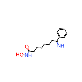 N=C(CCCCCCC(=O)NO)c1ccccc1